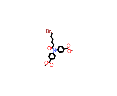 COC(=O)c1ccc(N(C(=O)CCCCCBr)c2ccc(C(=O)OC)cc2)cc1